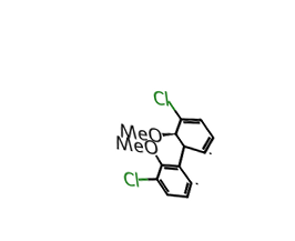 COc1c(C2[C]=CC=C(Cl)[C@@H]2OC)[c]ccc1Cl